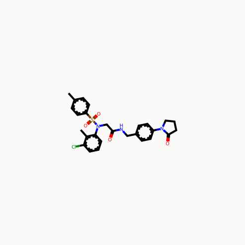 Cc1ccc(S(=O)(=O)N(CC(=O)NCc2ccc(N3CCCC3=O)cc2)c2cccc(Cl)c2C)cc1